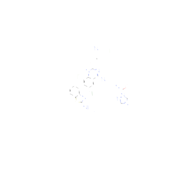 Nc1nc2c(-c3c(Cl)cc4c(N5CC6(CN(C(=O)n7cncn7)C6)C5)nc(OC[C@@]56CCCN5C[C@H](F)C6)nc4c3F)ccc(F)c2s1